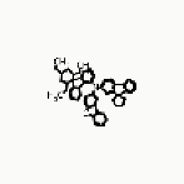 CCC1CC(CC)C2(c3ccccc3-c3c(N(c4ccc5c(c4)C4(CCCC4)c4ccccc4-5)c4ccc5oc6ccccc6c5c4)cccc32)C(CC)C1